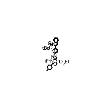 CCOC(=O)c1cn(-c2ccc(-c3cc4ccccc4n3C(=O)OC(C)(C)C)cn2)nc1N(C(=O)C1CCC(C)CC1)C(C)C